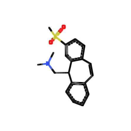 CN(C)CC1c2ccccc2C=Cc2ccc(S(C)(=O)=O)cc21